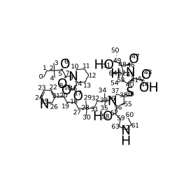 CCC(C)(C)C(=O)C(=O)N1CCCC[C@H]1C(=O)O[C@H](CCc1cccnc1)CC(C)(C)CCC(C)(C)N1C[C@@H](SC2=C(C(=O)O)N3C(=O)[C@H]([C@@H](C)O)[C@H]3[C@H]2C)C[C@H]1[C@H](O)[C@@H]1CCNC1